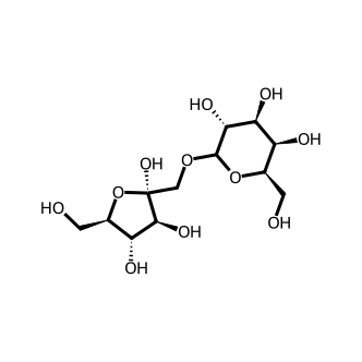 OC[C@H]1OC(OC[C@]2(O)O[C@H](CO)[C@@H](O)[C@@H]2O)[C@H](O)[C@@H](O)[C@H]1O